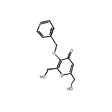 O=c1cc(CO)oc(CO)c1OCc1ccccc1